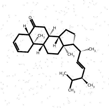 CC(C)[C@H](C)C=C[C@@H](C)[C@H]1CC[C@H]2[C@@H]3CC(=O)[C@H]4CC=CC[C@]4(C)[C@H]3CC[C@]12C